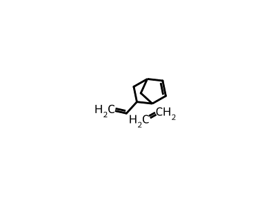 C=C.C=CC1CC2C=CC1C2